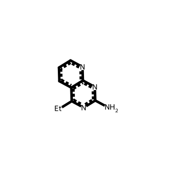 CCc1nc(N)nc2ncccc12